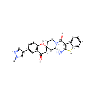 Cn1cc(-c2ccc3c(c2)C(=O)CC2(CCN(C(=O)c4c(N)sc5ccccc45)CC2)O3)cn1